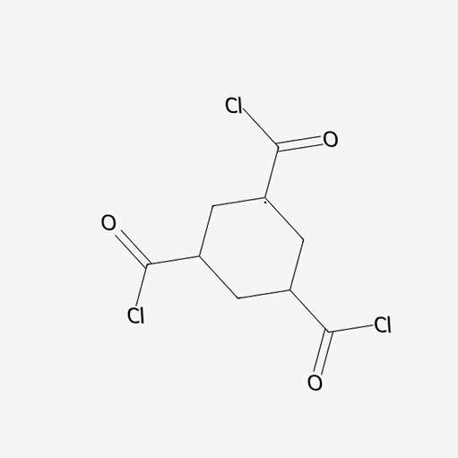 O=C(Cl)[C]1CC(C(=O)Cl)CC(C(=O)Cl)C1